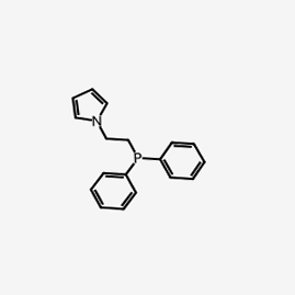 c1ccc(P(CCn2cccc2)c2ccccc2)cc1